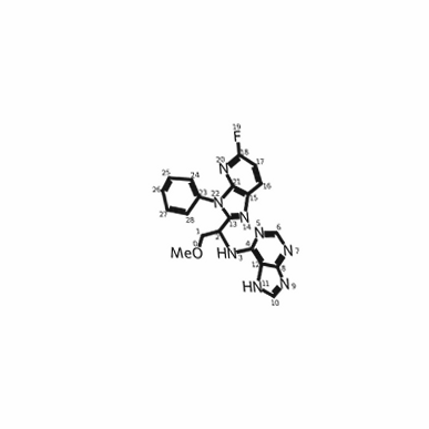 COCC(Nc1ncnc2nc[nH]c12)c1nc2ccc(F)nc2n1-c1ccccc1